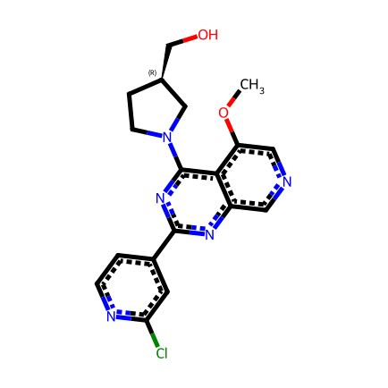 COc1cncc2nc(-c3ccnc(Cl)c3)nc(N3CC[C@@H](CO)C3)c12